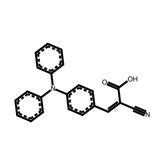 N#C/C(=C/c1ccc(N(c2ccccc2)c2ccccc2)cc1)C(=O)O